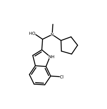 CN(C1CCCC1)C(O)c1cc2cccc(Cl)c2[nH]1